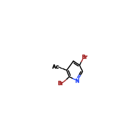 CC(=O)c1cc(Br)cnc1Br